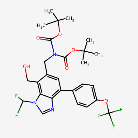 CC(C)(C)OC(=O)N(Cc1cc(-c2ccc(OC(F)(F)F)cc2)c2ncn(C(F)F)c2c1CO)C(=O)OC(C)(C)C